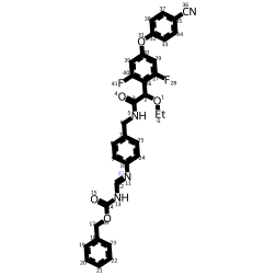 CCOC(C(=O)NCc1ccc(/N=C/NC(=O)OCc2ccccc2)cc1)c1c(F)cc(Oc2ccc(C#N)cc2)cc1F